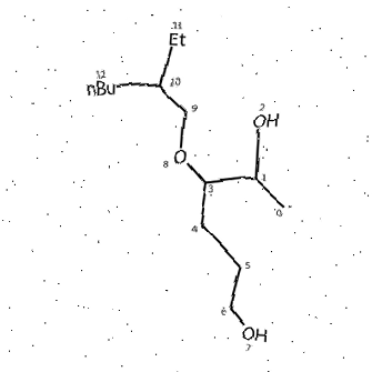 [CH2]C(O)C(CCCO)OCC(CC)CCCC